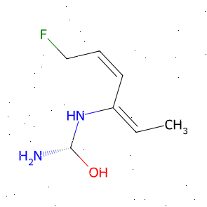 C/C=C(\C=C/CF)N[C@@H](N)O